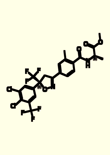 COC(=O)[C@@H](C)NC(=O)c1ccc(C2=NO[C@@](c3cc(Cl)c(Cl)c(C(F)(F)F)c3)(C(F)(F)F)C2)cc1C